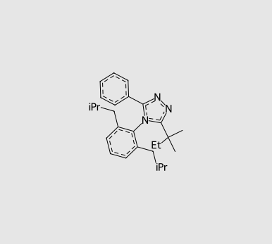 CCC(C)(C)c1nnc(-c2ccccc2)n1-c1c(CC(C)C)cccc1CC(C)C